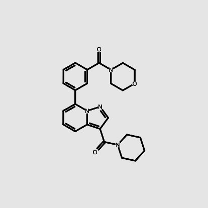 O=C(c1cccc(-c2cccc3c(C(=O)N4CCCCC4)cnn23)c1)N1CCOCC1